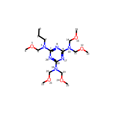 CCCN(COC)c1nc(N(COC)COC)nc(N(COC)COC)n1